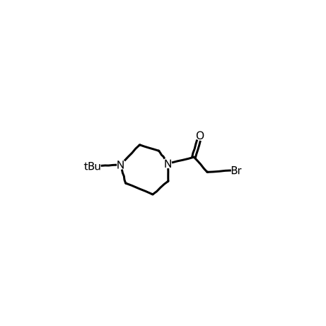 CC(C)(C)N1CCCN(C(=O)CBr)CC1